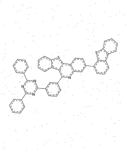 c1ccc(-c2nc(-c3ccccc3)nc(-c3cccc(-c4nc5cc(-c6cccc7c6sc6ccccc67)ccc5c5sc6ccccc6c45)c3)n2)cc1